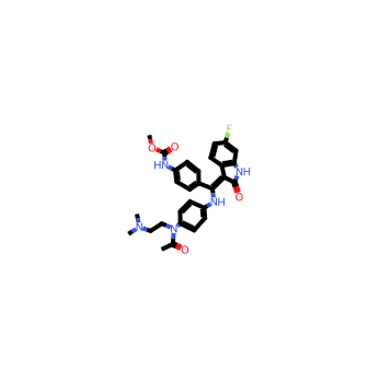 COC(=O)Nc1ccc(/C(Nc2ccc(N(CCN(C)C)C(C)=O)cc2)=C2/C(=O)Nc3cc(F)ccc32)cc1